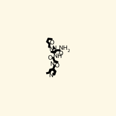 Cc1cc(-c2nc(C(=O)Nc3cn(CC4CCCO4)nc3C(N)=O)co2)ccn1